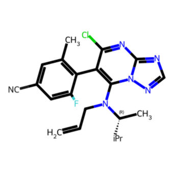 C=CCN(c1c(-c2c(C)cc(C#N)cc2F)c(Cl)nc2ncnn12)[C@H](C)C(C)C